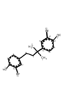 CC(C)(CCc1ccc(O)c(Br)c1)c1ccc(O)c(Br)c1